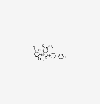 Cc1ccc(C#N)cc1Nc1c(C(=O)N2CCC(c3ccc(F)cc3)CC2)cn(C)c(=O)c1Cl